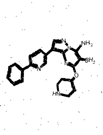 Bc1c(OC2CCNCC2)nc2c(-c3ccc(-c4ccccc4)nc3)cnn2c1N